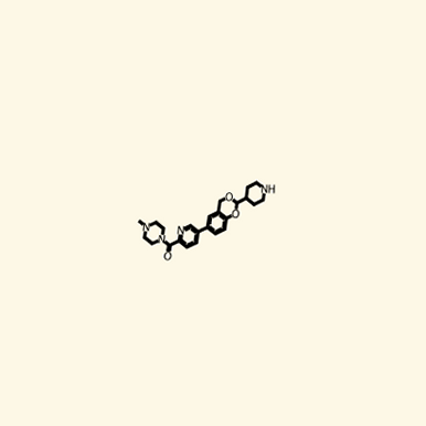 CN1CCN(C(=O)c2ccc(-c3ccc4c(c3)COC(C3CCNCC3)O4)cn2)CC1